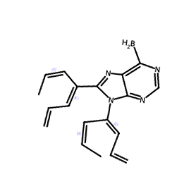 Bc1ncnc2c1nc(C(/C=C\C)=C/C=C)n2C(/C=C\C)=C/C=C